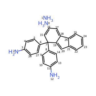 N.N.Nc1ccc(C2(c3ccc(N)cc3)C=CC=C3C2=Cc2ccccc23)cc1